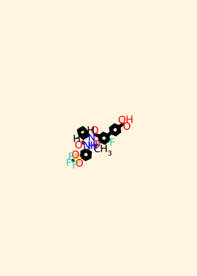 COc1cc(F)c(-c2ccc(C(=O)O)cc2)cc1C(=O)N[C@@H]1[C@H](C(=O)Nc2cccc(S(=O)(=O)C(F)(F)F)c2)[C@H]2C=C[C@@H]1C2